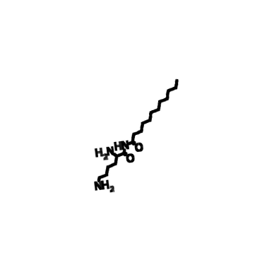 CCCCCCCCCCCC(=O)NC(=O)C(N)CCCCN